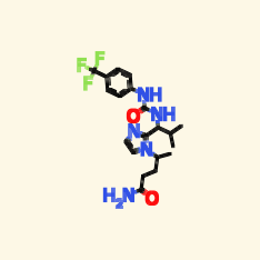 CC(C)[C@H](NC(=O)Nc1ccc(C(F)(F)F)cc1)c1nccn1C(C)CCC(N)=O